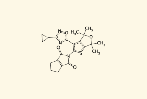 CC1(C)OC(C)(C)c2c1sc(N1C(=O)C3=C(CCC3)C1=O)c2-c1nc(C2CC2)no1